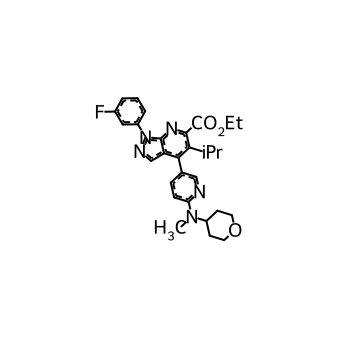 CCOC(=O)c1nc2c(cnn2-c2cccc(F)c2)c(-c2ccc(N(C)C3CCOCC3)nc2)c1C(C)C